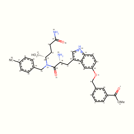 COC(=O)c1cccc(COc2ccc3[nH]cc(C[C@@H](N)C(=O)N(Cc4ccc(C#N)cc4)[C@@H](CCC(N)=O)C(=O)O)c3c2)c1